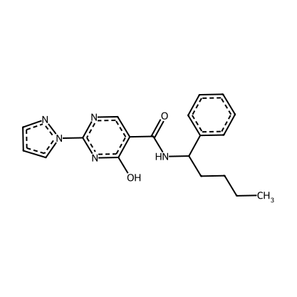 CCCCC(NC(=O)c1cnc(-n2cccn2)nc1O)c1ccccc1